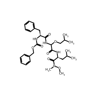 CON(C)C(=O)[C@H](CC(C)C)NC(=O)C(NC(=O)[C@H](Cc1ccccc1)NC(=O)OCc1ccccc1)OCC(C)C